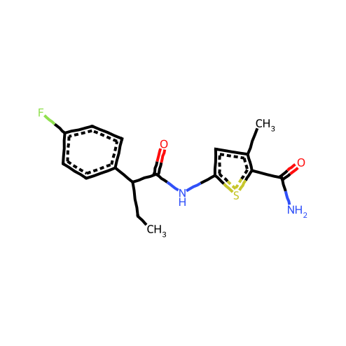 CCC(C(=O)Nc1cc(C)c(C(N)=O)s1)c1ccc(F)cc1